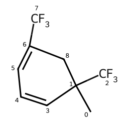 CC1(C(F)(F)F)C=CC=C(C(F)(F)F)C1